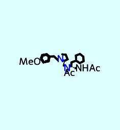 COc1ccc(CCN2CCC[C@H]2CN(C(C)=O)[C@@H](CNC(C)=O)CC2CCCCC2)cc1